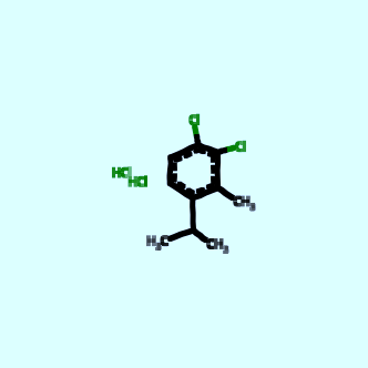 Cc1c(C(C)C)ccc(Cl)c1Cl.Cl.Cl